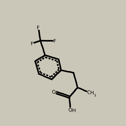 CC(Cc1cccc(C(F)(F)F)c1)C(=O)O